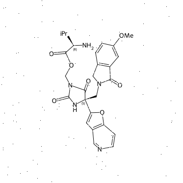 COc1ccc2c(c1)C(=O)N(C[C@@]1(c3cc4cnccc4o3)NC(=O)N(COC(=O)[C@H](N)C(C)C)C1=O)C2